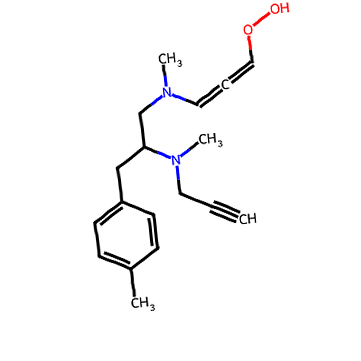 C#CCN(C)C(Cc1ccc(C)cc1)CN(C)C=C=COO